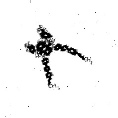 CCCCCC1CCC(c2ccc(-c3ccc(Sc4ccc(Sc5ccc(-c6ccc(C7CCC(CCCCC)CC7)cc6)cc5)c5c4C(=O)c4c(Nc6ccc(C(F)(F)F)cc6)ccc(Nc6ccc(C(F)(F)F)cc6)c4C5=O)cc3)cc2)CC1